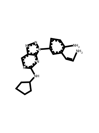 N/C=C\c1cc(-n2nnc3cnc(NC4CCCC4)nc32)ccc1N